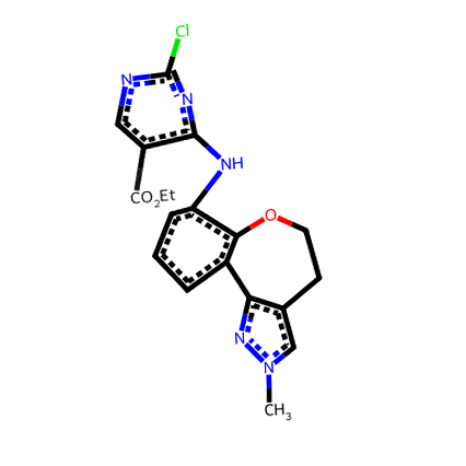 CCOC(=O)c1cnc(Cl)nc1Nc1cccc2c1OCCc1cn(C)nc1-2